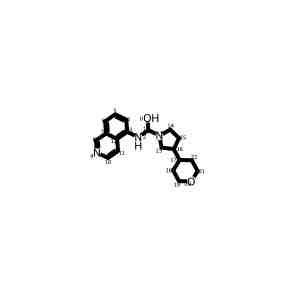 OC(Nc1cccc2cnccc12)N1CCC(C2CCOCC2)C1